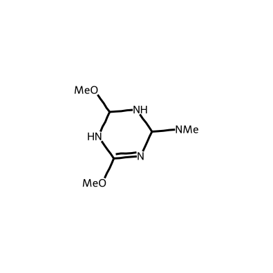 CNC1N=C(OC)NC(OC)N1